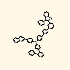 c1ccc(-c2ccccc2-c2ccc(N(c3ccc(-c4ccc(-c5cccc(-c6oc7ccccc7c6-c6ccccc6)c5)cc4)cc3)c3ccc(-c4ccc5ccccc5c4)cc3)cc2)cc1